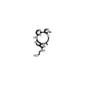 CC1CCOc2c(cnn2C)-c2nccc(n2)Nc2cc3c(cn2)c(NCCO)nn31